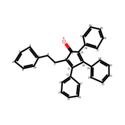 O=C1C(CCc2ccccc2)=C(c2ccccc2)C(c2ccccc2)=C1c1ccccc1